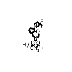 CC(C)(C)OC(=O)N1CCOc2c(cccc2N2CCC(F)(F)C2)C1